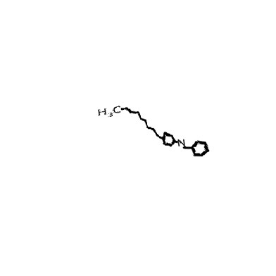 CCCCCCCCCc1ccc(N=Cc2ccccc2)cc1